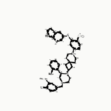 COc1cc(CN2CCN(C3CC4(CCN(c5ccc(C=O)c(Oc6cnc7[nH]ccc7c6)c5)CC4)C3)C(c3ccccc3C(C)C)C2)ccc1Cl